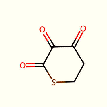 O=C1CCSC(=O)C1=O